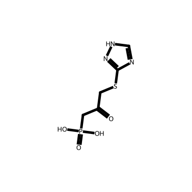 O=C(CSc1nc[nH]n1)CP(=O)(O)O